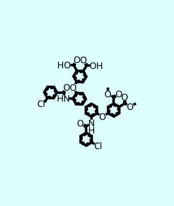 COC(=O)c1ccc(Oc2ccccc2NC(=O)c2cccc(Cl)c2)cc1C(=O)OC.O=C(Nc1ccccc1Oc1ccc(C(=O)O)c(C(=O)O)c1)c1cccc(Cl)c1